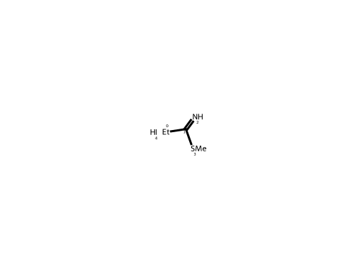 CCC(=N)SC.I